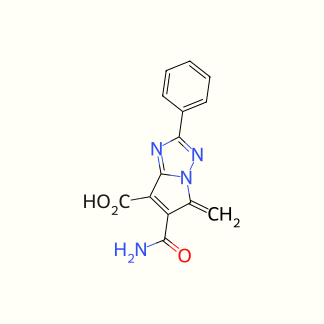 C=c1c(C(N)=O)c(C(=O)O)c2nc(-c3ccccc3)nn12